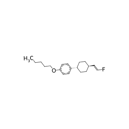 CCCCCOc1ccc([C@H]2CC[C@H](C=CF)CC2)cc1